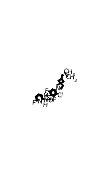 CN(C)CC1CC2(CCN(c3cc(F)c(S(=O)(=O)Nc4cccc(F)n4)c(F)c3Cl)C2)C1